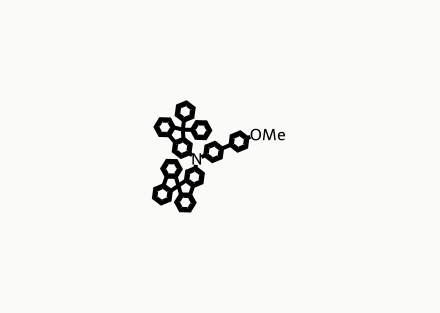 COc1ccc(-c2ccc(N(c3ccc4c(c3)C(c3ccccc3)(c3ccccc3)c3ccccc3-4)c3ccc4c(c3)C3(c5ccccc5-c5ccccc53)c3ccccc3-4)cc2)cc1